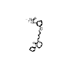 NC(=S)Nc1cccc(OCCCCCN2CCCCN(c3ccccc3)C2=O)c1